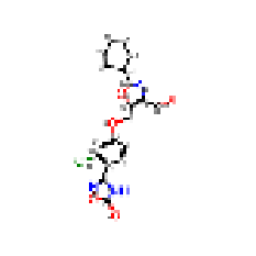 O=c1[nH]c(-c2ccc(OCc3oc(C4CCCCC4)nc3CO)cc2Cl)no1